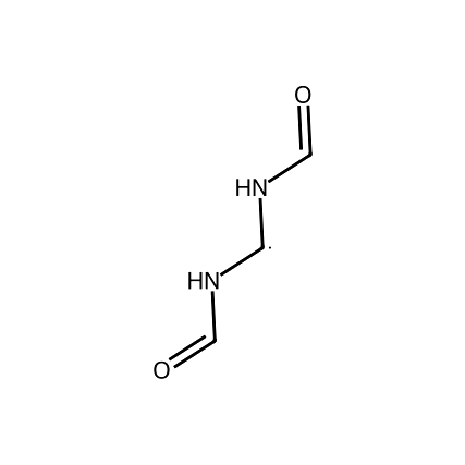 O=CN[CH]NC=O